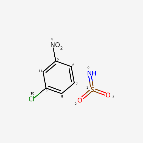 N=S(=O)=O.O=[N+]([O-])c1cccc(Cl)c1